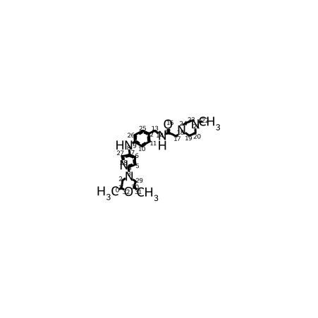 CC1CN(c2ccc(Nc3ccc(CNC(=O)CN4CCN(C)CC4)cc3)cn2)CC(C)O1